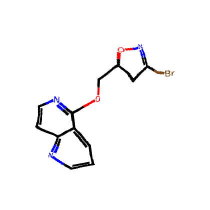 BrC1=NOC(COc2nccc3ncccc23)C1